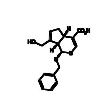 O=C(O)C1=CO[C@@H](OCc2ccccc2)[C@@H]2C(CO)=CC[C@H]12